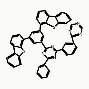 c1ccc(-c2nc(-c3cccc(-c4ncncn4)c3)nc(-c3cc(-c4cccc5c4sc4ccccc45)cc(-c4cccc5c4sc4ccccc45)c3)n2)cc1